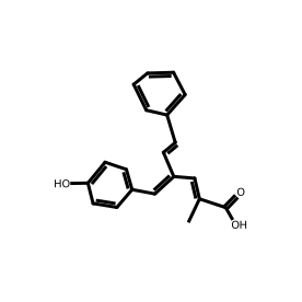 CC(=CC(C=Cc1ccccc1)=Cc1ccc(O)cc1)C(=O)O